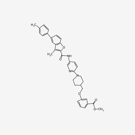 COC(=O)c1cccc(OCC2CCN(c3ccc(NC(=O)c4oc5ccc(-c6ccc(C)cc6)cc5c4C)cn3)CC2)c1